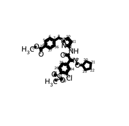 COC(=O)c1ccc(Cn2ccc(NC(=O)C(=NOC3CCCC3)c3ccc(S(C)(=O)=O)c(Cl)c3)n2)cc1